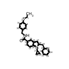 CCSc1ccc(CNC(=O)c2ccc3c(c2)cc(Cc2ccccn2)n3C2CC2)cc1